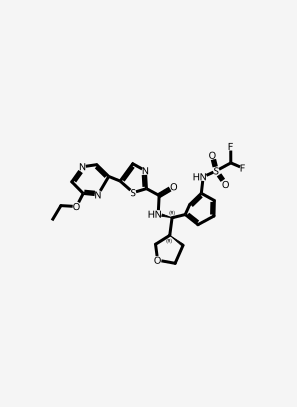 CCOc1cncc(-c2cnc(C(=O)N[C@@H](c3cccc(NS(=O)(=O)C(F)F)c3)[C@H]3CCOC3)s2)n1